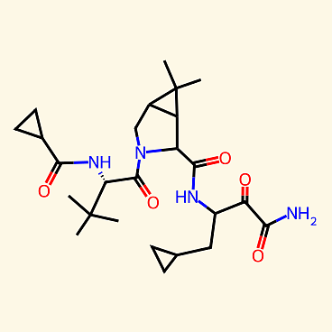 CC1(C)C2CN(C(=O)[C@@H](NC(=O)C3CC3)C(C)(C)C)C(C(=O)NC(CC3CC3)C(=O)C(N)=O)C21